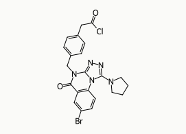 O=C(Cl)Cc1ccc(Cn2c(=O)c3cc(Br)ccc3n3c(N4CCCC4)nnc23)cc1